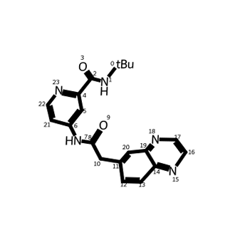 CC(C)(C)NC(=O)c1cc(NC(=O)Cc2ccc3nccnc3c2)ccn1